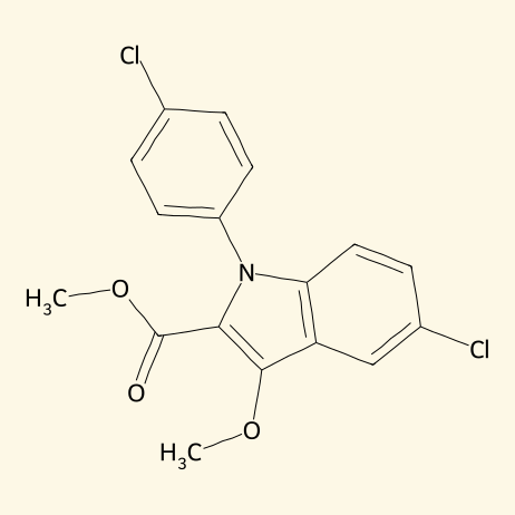 COC(=O)c1c(OC)c2cc(Cl)ccc2n1-c1ccc(Cl)cc1